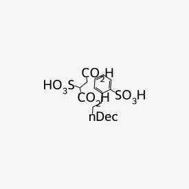 CCCCCCCCCCCCc1ccccc1S(=O)(=O)O.O=C(O)CC(C(=O)O)S(=O)(=O)O